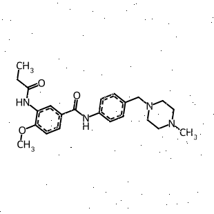 CCC(=O)Nc1cc(C(=O)Nc2ccc(CN3CCN(C)CC3)cc2)ccc1OC